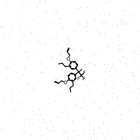 C=CCOc1ccc(C(C)(c2ccc(OCC=C)c(CCC)c2)C(F)(F)F)cc1CCC